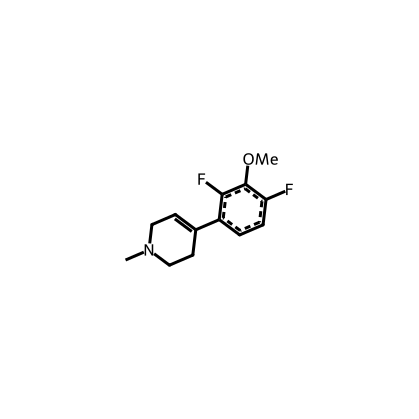 COc1c(F)ccc(C2=CCN(C)CC2)c1F